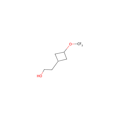 OCCC1CC(OC(F)(F)F)C1